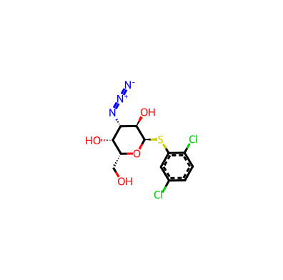 [N-]=[N+]=N[C@@H]1[C@@H](O)[C@@H](Sc2cc(Cl)ccc2Cl)O[C@H](CO)[C@@H]1O